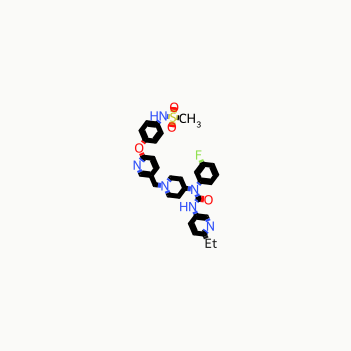 CCc1ccc(NC(=O)N(c2cccc(F)c2)C2CCN(Cc3ccc(Oc4ccc(NS(C)(=O)=O)cc4)nc3)CC2)cn1